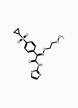 COCCO/N=C(/C(=O)Nc1nccs1)c1ccc(S(=O)(=O)C2CC2)cc1